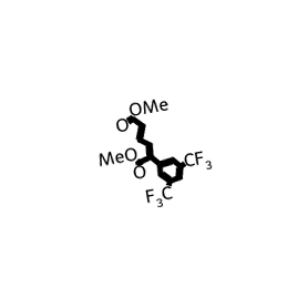 COC(=O)C=CC=C(C(=O)OC)c1cc(C(F)(F)F)cc(C(F)(F)F)c1